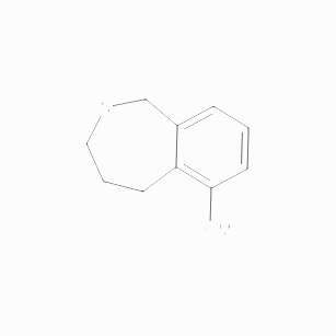 COc1cccc2c1CCCNC2